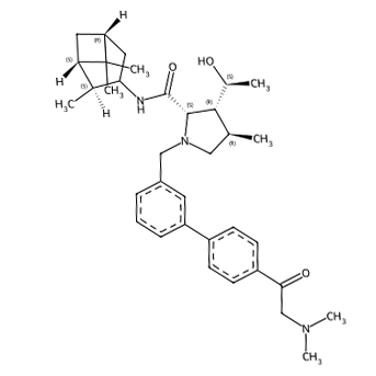 C[C@H](O)[C@H]1[C@@H](C(=O)NC2C[C@H]3C[C@@H]([C@@H]2C)C3(C)C)N(Cc2cccc(-c3ccc(C(=O)CN(C)C)cc3)c2)C[C@@H]1C